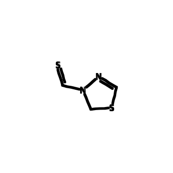 S=CN1CSC=N1